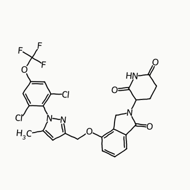 Cc1cc(COc2cccc3c2CN(C2CCC(=O)NC2=O)C3=O)nn1-c1c(Cl)cc(OC(F)(F)F)cc1Cl